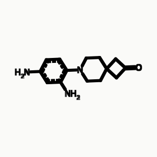 Nc1ccc(N2CCC3(CC2)CC(=O)C3)c(N)c1